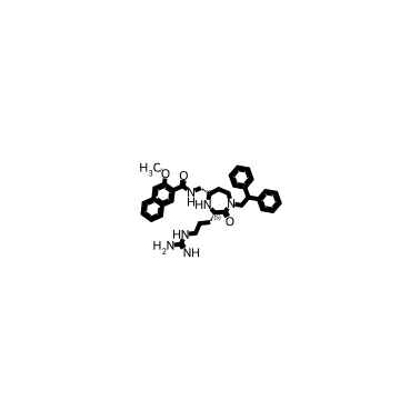 COc1cc2ccccc2cc1C(=O)NC[C@@H]1CCN(CC(c2ccccc2)c2ccccc2)C(=O)[C@H](CCCNC(=N)N)N1